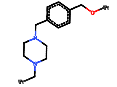 CC(C)CN1CCN(Cc2ccc(COC(C)C)cc2)CC1